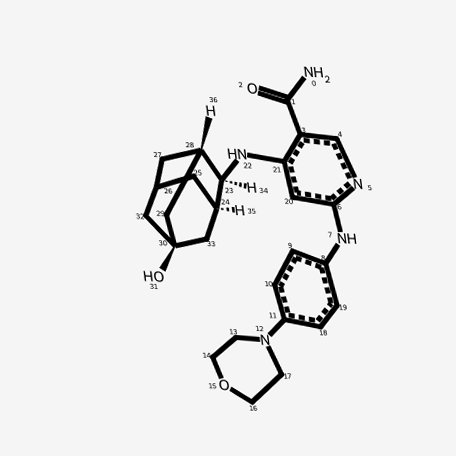 NC(=O)c1cnc(Nc2ccc(N3CCOCC3)cc2)cc1N[C@H]1[C@@H]2CC3C[C@H]1C[C@@](O)(C3)C2